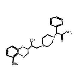 CCCCc1cccc2c1OCC(C(O)CN1CCN(C(C(N)=O)c3ccccc3)CC1)O2